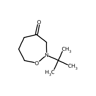 CC(C)(C)N1CC(=O)CCCO1